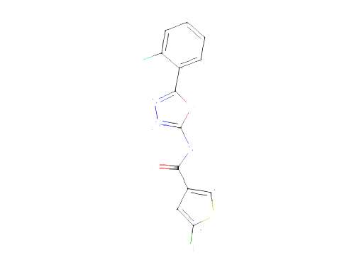 O=C(Nc1nnc(-c2ccccc2F)o1)c1csc(Cl)c1